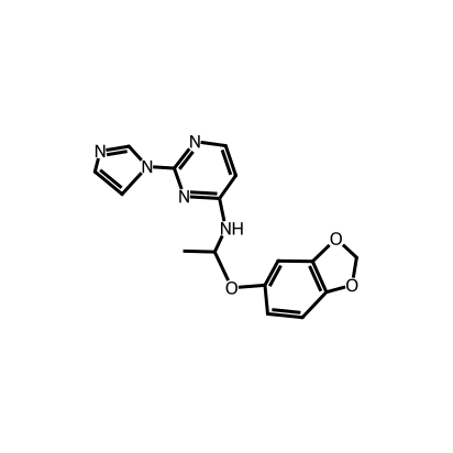 CC(Nc1ccnc(-n2ccnc2)n1)Oc1ccc2c(c1)OCO2